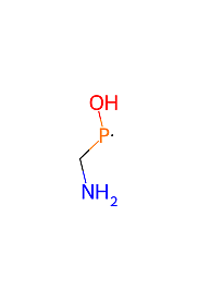 NC[P]O